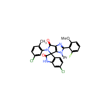 COc1cccc(F)c1-c1nc2c(n1C(C)C)C1(C(=O)Nc3cc(Cl)ccc31)N(c1cc(Cl)ccc1C)C2=O